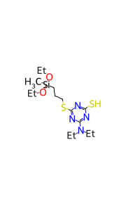 CCO[Si](C)(CCCSc1nc(S)nc(N(CC)CC)n1)OCC